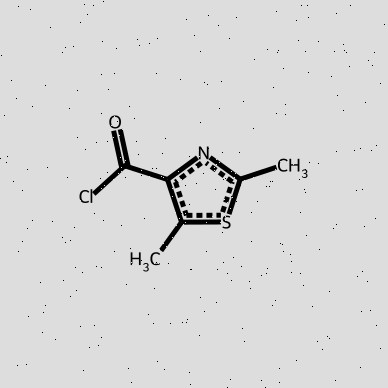 Cc1nc(C(=O)Cl)c(C)s1